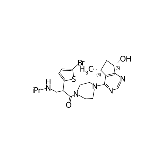 CC(C)NCC(C(=O)N1CCN(c2ncnc3c2[C@H](C)C[C@@H]3O)CC1)c1ccc(Br)s1